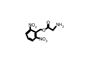 NCC(=O)OCc1c([N+](=O)[O-])cccc1[N+](=O)[O-]